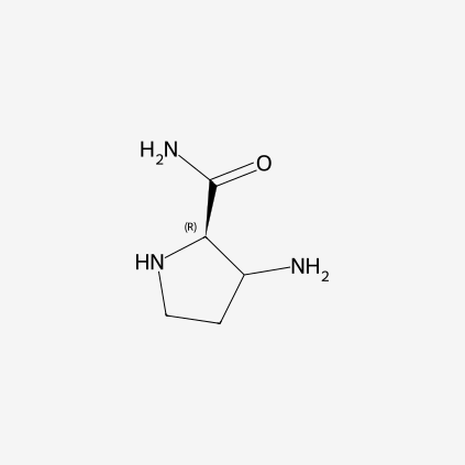 NC(=O)[C@@H]1NCCC1N